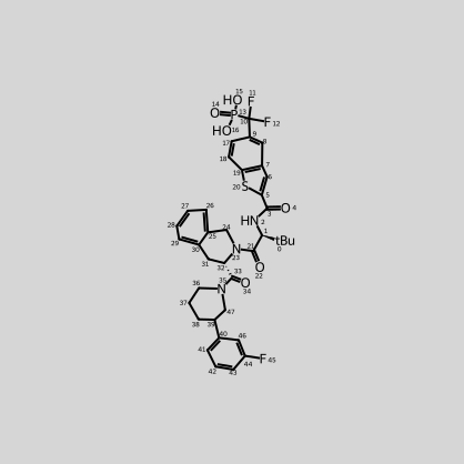 CC(C)(C)[C@H](NC(=O)c1cc2cc(C(F)(F)P(=O)(O)O)ccc2s1)C(=O)N1Cc2ccccc2C[C@H]1C(=O)N1CCCC(c2cccc(F)c2)C1